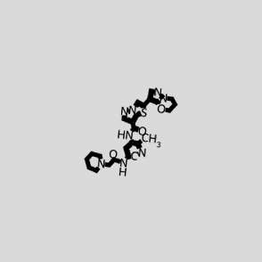 Cc1ncc(NC(=O)CN2CCCCC2)cc1NC(=O)c1cnn2cc(-c3cnn4c3OCCC4)sc12